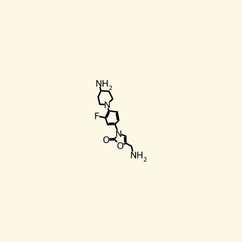 NCc1cn(-c2ccc(N3CCC(N)CC3)c(F)c2)c(=O)o1